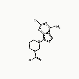 Nc1nc(Cl)nc2c1ccn2[C@@H]1CCCN(C(=O)O)C1